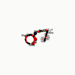 CN[C@@H](CCC(=O)NC[C@H](O)[C@@H](O)[C@H](O)[C@H](O)CO)C(=O)N[C@@H](CSSCCOC(=O)OCCO[C@@H]1CC[C@@H](C[C@@H](C)[C@@H]2CC(=O)[C@H](C)/C=C(\C)[C@@H](O)[C@@H](OC)C(=O)[C@H](C)C[C@H](C)/C=C/C=C/C=C(\C)[C@@H](OC)C[C@@H]3CC[C@@H](C)[C@@](O)(O3)C(=O)C(=O)N3CCCC[C@H]3C(=O)O2)C[C@H]1OC)C(=O)O